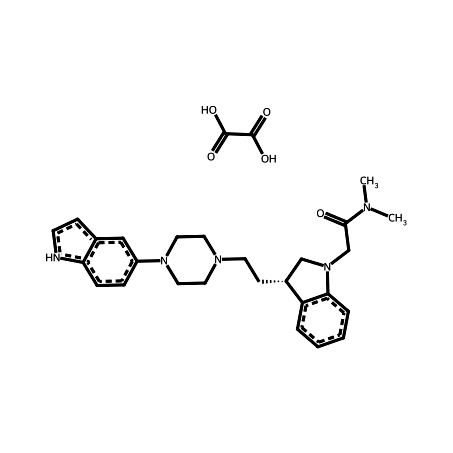 CN(C)C(=O)CN1C[C@@H](CCN2CCN(c3ccc4[nH]ccc4c3)CC2)c2ccccc21.O=C(O)C(=O)O